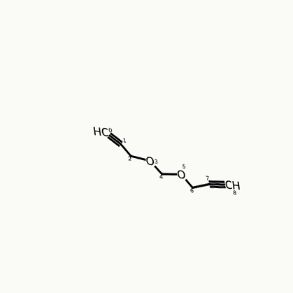 C#CCOCOCC#C